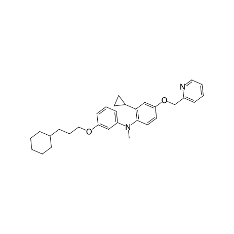 CN(c1cccc(OCCCC2CCCCC2)c1)c1ccc(OCc2ccccn2)cc1C1CC1